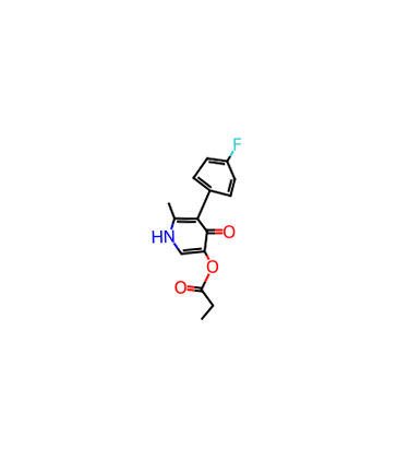 CCC(=O)Oc1c[nH]c(C)c(-c2ccc(F)cc2)c1=O